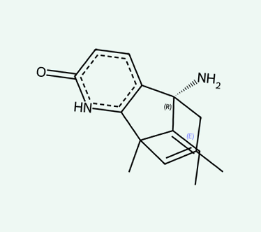 C/C=C1\C2(C)C=C(C)C[C@]1(N)c1ccc(=O)[nH]c12